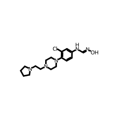 O/N=C/Nc1ccc(N2CCN(CCN3CCCC3)CC2)c(Cl)c1